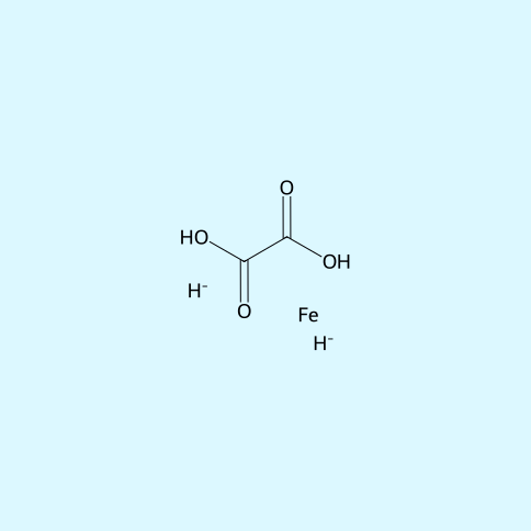 O=C(O)C(=O)O.[Fe].[H-].[H-]